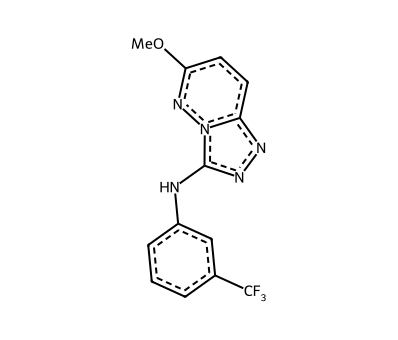 COc1ccc2nnc(Nc3cccc(C(F)(F)F)c3)n2n1